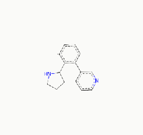 [c]1cccc(-c2cccnc2)c1C1CCCN1